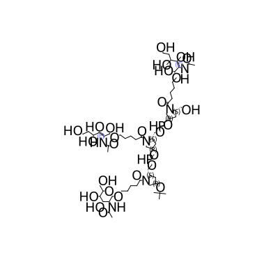 CC(=O)N/C(=C(\O)C(O)CCO)C(O)OCCCCC(=O)N1C[C@H](OPOC[C@@H]2C[C@@H](OPOC[C@@H]3C[C@@H](OC(C)(C)C)CN3C(=O)CCCCOC3OC(CO)C(O)C(O)C3NC(C)=O)CN2C(=O)CCCCOC(O)/C(NC(C)=O)=C(\O)C(O)CCO)C[C@H]1CO